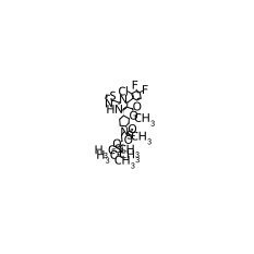 COC(=O)C1=C([C@H]2CC[C@H](N(CCO[Si](C)(C)C(C)(C)C)S(C)(=O)=O)CC2)NC(c2nccs2)=NC1c1ccc(F)c(F)c1Cl